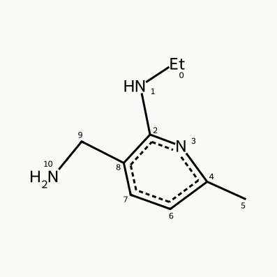 CCNc1nc(C)ccc1CN